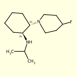 CC(C)N[C@H]1CCCC[C@@H]1N1CCC(F)CC1